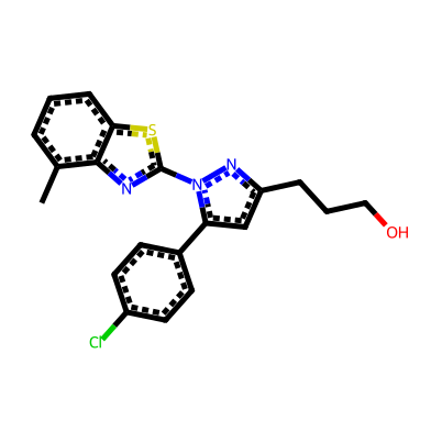 Cc1cccc2sc(-n3nc(CCCO)cc3-c3ccc(Cl)cc3)nc12